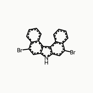 Brc1cc2[nH]c3cc(Br)c4ccccc4c3c2c2ccccc12